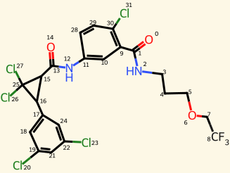 O=C(NCCCOCC(F)(F)F)c1cc(NC(=O)C2C(c3cc(Cl)cc(Cl)c3)C2(Cl)Cl)ccc1Cl